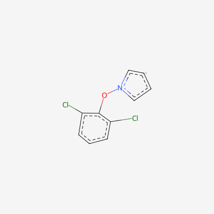 Clc1cccc(Cl)c1On1c[c]cc1